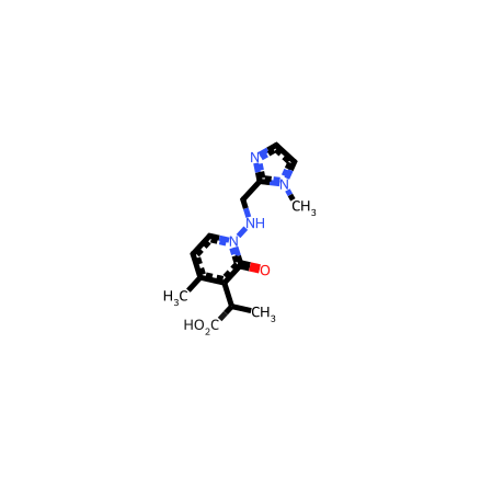 Cc1ccn(NCc2nccn2C)c(=O)c1C(C)C(=O)O